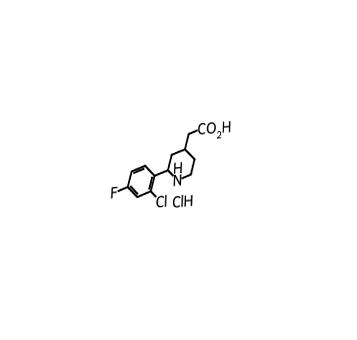 Cl.O=C(O)CC1CCNC(c2ccc(F)cc2Cl)C1